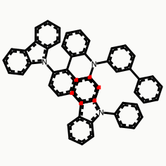 c1ccc(-c2cccc(N(c3ccc4c5ccccc5n(-c5ccccc5)c4c3)c3ccccc3-c3c(-n4c5ccccc5c5ccccc54)ccc4ccccc34)c2)cc1